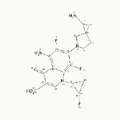 Nc1c(F)c(N2CCC3(CC3N)C2)c(F)c2c1c(=O)c(C(=O)O)cn2[C@@H]1C[C@@H]1F